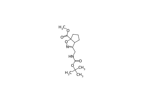 COC(=O)C12CCCC1C(CNC(=O)OC(C)(C)C)=NO2